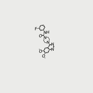 COc1cc2ncnc(N3CCN(C(=O)Nc4cccc(F)c4)CC3)c2cc1OC